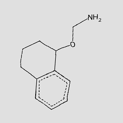 NCOC1CCCc2ccccc21